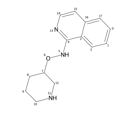 c1ccc2c(NOC3CCCNC3)nccc2c1